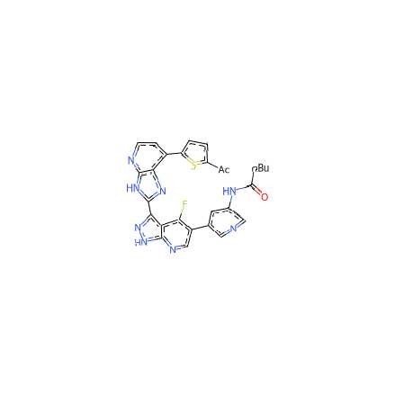 CCCCC(=O)Nc1cncc(-c2cnc3[nH]nc(-c4nc5c(-c6ccc(C(C)=O)s6)ccnc5[nH]4)c3c2F)c1